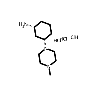 CN1CCN([C@H]2CCC[C@@H](N)C2)CC1.Cl.Cl.Cl